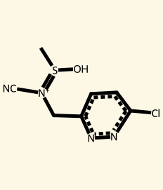 CS(O)=[N+](C#N)Cc1ccc(Cl)nn1